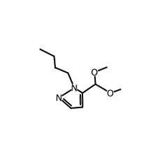 CCCCn1nccc1C(OC)OC